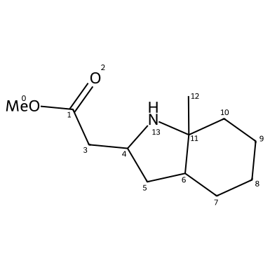 COC(=O)CC1CC2CCCCC2(C)N1